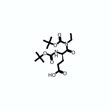 CCN(C(=O)OC(C)(C)C)C(=O)[C@@H](CCC(=O)O)NC(=O)OC(C)(C)C